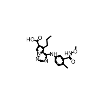 CCCc1c(C(=O)O)cn2ncnc(Nc3ccc(C)c(C(=O)NOC)c3)c12